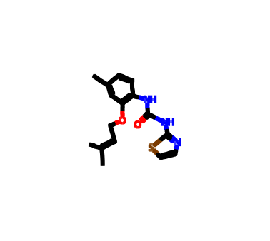 CC(C)=CCOc1cc(C)ccc1NC(=O)Nc1nccs1